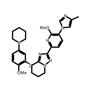 COc1ccc(N2CCCCC2)cc1[C@@H]1CCCn2nc(-c3ccc(-n4cnc(C)c4)c(OC)n3)nc21